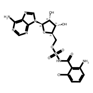 Nc1cccc(Cl)c1C(=O)NS(=O)(=O)OC[C@H]1O[C@@H](n2cnc3c(N)ncnc32)[C@H](O)[C@@H]1O